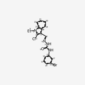 CCn1c(Cl)c(C=NNC(=O)Nc2cccc(Br)c2)c2ccccc21